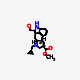 COC(=O)[C@@H]1C[C@@H]2c3cccc4[nH]c(C=O)c(c34)C[C@H]2N(CC2CC2)C1